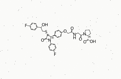 O=C(COc1ccc([C@@H]2[C@@H](SCC(O)c3ccc(F)cc3)C(=O)N2c2ccc(F)cc2)cc1)NCC(=O)N1CCC[C@@H]1C(=O)O